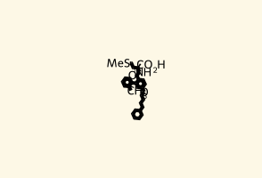 CSCC[C@H](NC(=O)c1ccc(OCCCCC2CCCCC2)cc1-c1ccccc1C)C(=O)O